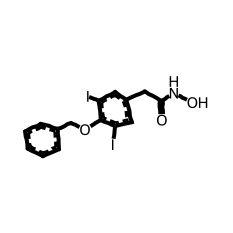 O=C(Cc1cc(I)c(OCc2ccccc2)c(I)c1)NO